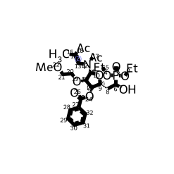 CCOP(=O)(OCC)C(O)C[C@H]1O[C@@H](N(/C=C(/C)C(C)=O)C(C)=O)[C@H](OCCOC)[C@@H]1OC(=O)c1ccccc1